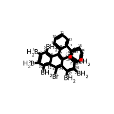 Bc1c(B)c(B)c2c(-c3ccccc3-c3ccccc3)c3c(B)c(B)c(B)c(B)c3c(Br)c2c1B